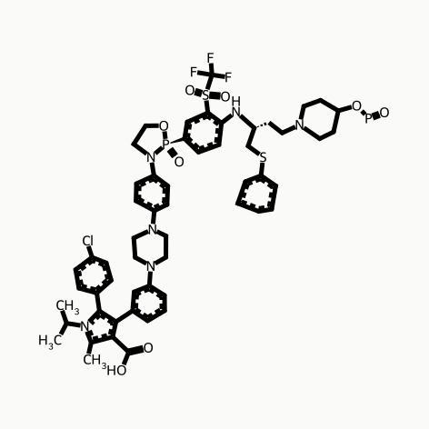 Cc1c(C(=O)O)c(-c2cccc(N3CCN(c4ccc(N5CCO[P@@]5(=O)c5ccc(N[C@H](CCN6CCC(OP=O)CC6)CSc6ccccc6)c(S(=O)(=O)C(F)(F)F)c5)cc4)CC3)c2)c(-c2ccc(Cl)cc2)n1C(C)C